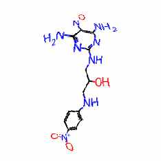 Nc1nc(NCC(O)CNc2ccc([N+](=O)[O-])cc2)nc(N)c1N=O